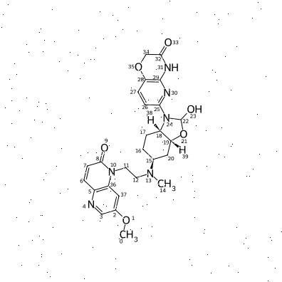 COc1cnc2ccc(=O)n(CCN(C)[C@H]3CC[C@H]4[C@@H](C3)OC(O)N4c3ccc4c(n3)NC(=O)CO4)c2c1